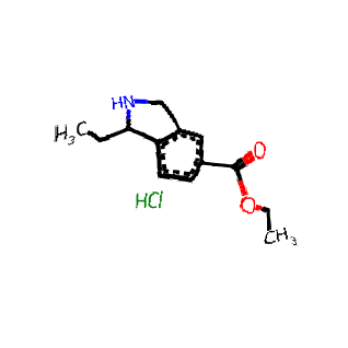 CCOC(=O)c1ccc2c(c1)CNC2CC.Cl